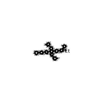 CCn1c2ccccc2c2cc(-c3ccc(-c4c5ccc(-c6cccc(C)c6)cc5c(-c5ccc(-c6ccc(-c7ccccc7)cc6)cc5)c5ccc(-c6cccc(C)c6)cc45)cc3)ccc21